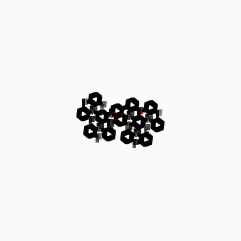 Fc1cccc(F)c1N(c1ccccc1)c1cc2c3c(c1)N(c1c(F)cccc1F)c1ccccc1B3c1cc3c(cc1S2)N(c1c(F)cccc1-c1ccccc1)c1cc(N(c2ccccc2)c2c(F)cccc2F)cc2c1B3c1ccccc1N2c1c(F)cccc1F